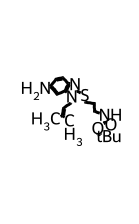 CC(C)=CCn1c(SCCCNC(=O)OC(C)(C)C)nc2ccc(N)cc21